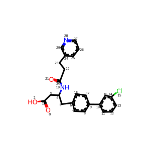 O=C(O)CC(Cc1ccc(-c2cccc(Cl)c2)cc1)NC(=O)CCc1cccnc1